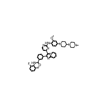 COc1cc(N2CCC(N3CCN(C)CC3)CC2)ccc1Nc1nccc(-c2c(-c3cccc(C(=O)Nc4c(F)cccc4F)c3)nc3ccccn23)n1